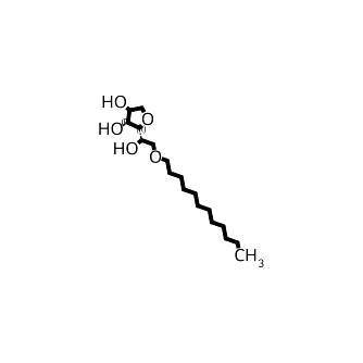 CCCCCCCCCCCCOCC(O)[C@H]1OCC(O)[C@H]1O